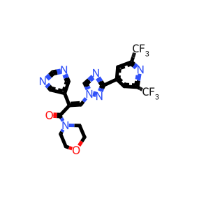 O=C(/C(=C/n1cnc(-c2cc(C(F)(F)F)nc(C(F)(F)F)c2)n1)c1cncnc1)N1CCOCC1